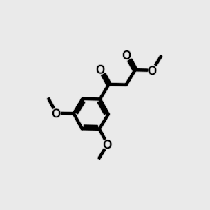 COC(=O)CC(=O)c1cc(OC)cc(OC)c1